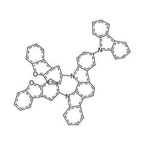 c1ccc2c(c1)oc1ccc(-n3c4ccccc4c4ccc5c6cc(-n7c8ccccc8c8ccccc87)ccc6n(-c6ccc7oc8ccccc8c7c6)c5c43)cc12